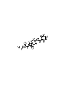 NC(=O)CN1CC2(CCC(OCc3ccccc3)CC2)C1=O